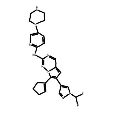 FC(F)n1cc(-c2cc3cnc(Nc4ccc(N5CCNCC5)cn4)nn3c2C2=CCCC2)cn1